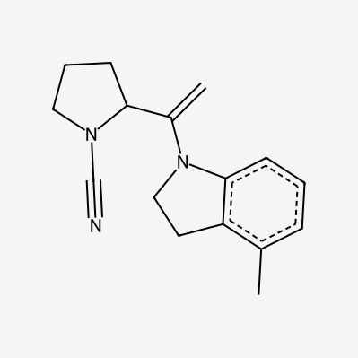 C=C(C1CCCN1C#N)N1CCc2c(C)cccc21